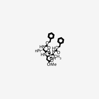 CCC[C@H](NC(=O)OCc1ccccc1)C(=O)NC(CC(=O)OC)P(=O)(O)C(C)NC(=O)OCc1ccccc1